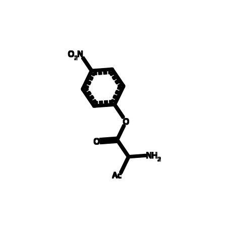 CC(=O)C(N)C(=O)Oc1ccc([N+](=O)[O-])cc1